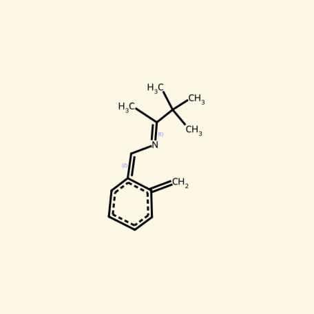 C=c1cccc/c1=C/N=C(\C)C(C)(C)C